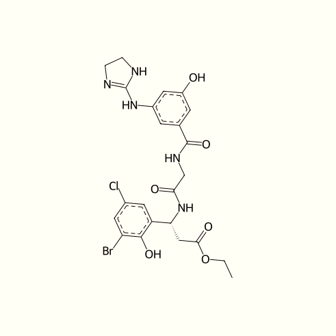 CCOC(=O)C[C@@H](NC(=O)CNC(=O)c1cc(O)cc(NC2=NCCN2)c1)c1cc(Cl)cc(Br)c1O